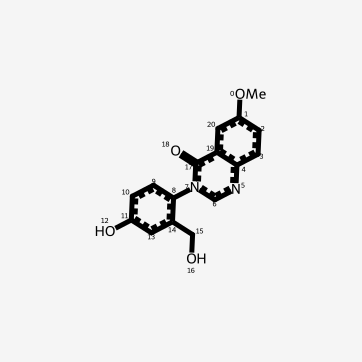 COc1ccc2ncn(-c3ccc(O)cc3CO)c(=O)c2c1